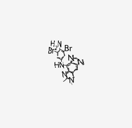 Cc1nc2c(Nc3cc(Br)c(N)c(Br)c3)c3ncnc3cc2cn1C